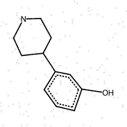 Oc1cccc(C2CC[N]CC2)c1